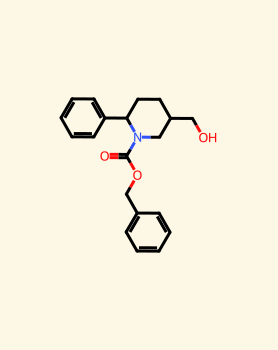 O=C(OCc1ccccc1)N1CC(CO)CCC1c1ccccc1